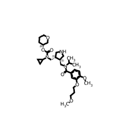 COCCCOc1cc(C(=O)N(C[C@@H]2CNC[C@H]2CN(C(=O)O[C@@H]2CCCOC2)C2CC2)C(C)C)ccc1OC